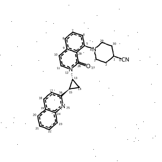 N#CC1CCN(c2cccc3ccn([C@@H]4C[C@H]4c4ccc5ccccc5n4)c(=O)c23)CC1